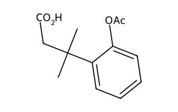 CC(=O)Oc1ccccc1C(C)(C)CC(=O)O